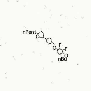 CCCCCC1CCC(c2ccc(COc3ccc(OCCCC)c(F)c3F)cc2)CO1